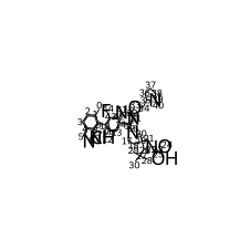 Cc1ccc2cn[nH]c2c1-c1c(Cl)cc2c(N3CCC4(C3)CN(C(=O)O)C4C(C)(C)C)nc(OCC3CCCN3C)nc2c1F